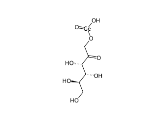 O=C(C[O][Ge](=[O])[OH])[C@@H](O)[C@H](O)[C@H](O)CO